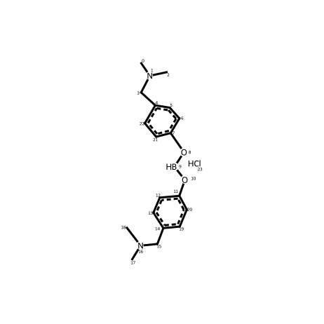 CN(C)Cc1ccc(OBOc2ccc(CN(C)C)cc2)cc1.Cl